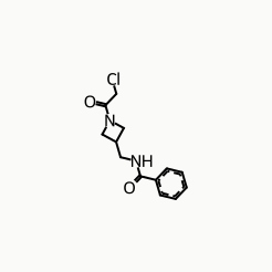 O=C(NCC1CN(C(=O)CCl)C1)c1ccccc1